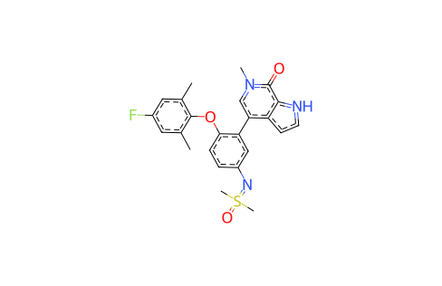 Cc1cc(F)cc(C)c1Oc1ccc(N=S(C)(C)=O)cc1-c1cn(C)c(=O)c2[nH]ccc12